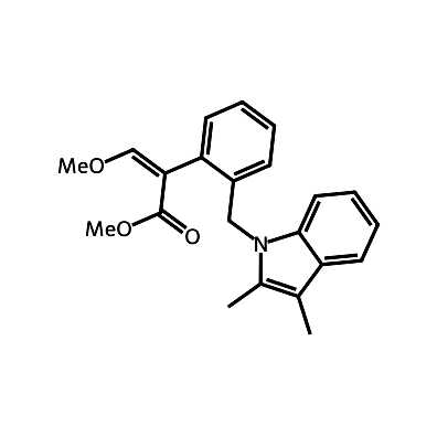 COC=C(C(=O)OC)c1ccccc1Cn1c(C)c(C)c2ccccc21